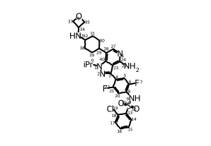 CC(C)n1nc(-c2cc(F)c(NS(=O)(=O)c3ccccc3Cl)cc2F)c2c(N)ncc(C3CCC(NC4COC4)CC3)c21